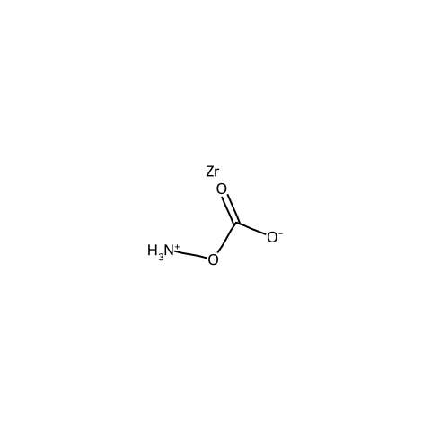 [NH3+]OC(=O)[O-].[Zr]